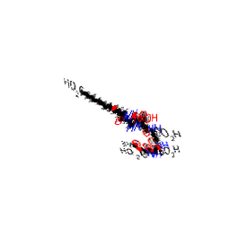 CC(C)C(=O)CC[C@H](NC(=O)CCC(NC(=O)CC[C@H](NC(=O)CCC(NC(=O)[C@H]1CC[C@@H](CNC(=O)CCCCCCCCCCCCCCCCC(=O)O)CC1)C(O)O)C(=O)O)C(=O)O)C(=O)O